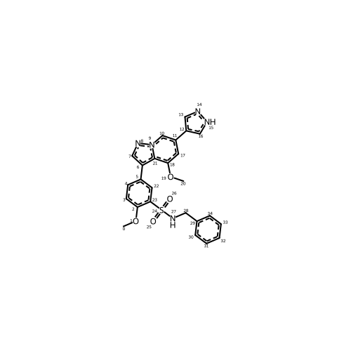 COc1ccc(-c2cnn3cc(-c4cn[nH]c4)cc(OC)c23)cc1S(=O)(=O)NCc1ccccc1